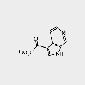 O=C(O)C(=O)c1c[nH]c2cnccc12